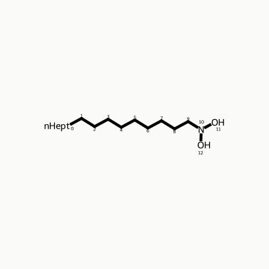 CCCCCCCCCCCCCCCCN(O)O